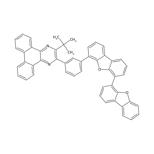 CC(C)(C)c1nc2c3ccccc3c3ccccc3c2nc1-c1cccc(-c2cccc3c2oc2c(-c4cccc5c4oc4ccccc45)cccc23)c1